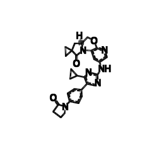 O=C1CCCN1c1ccc(-c2cnc(Nc3cnc4c(c3)N3C(=O)C5(CC5)C[C@H]3CO4)nc2C2CC2)cc1